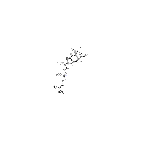 CC(C)=CCC/C(C)=C/CCC(C)c1cc2cc(C(F)(F)F)c(C(F)(F)F)cc2o1